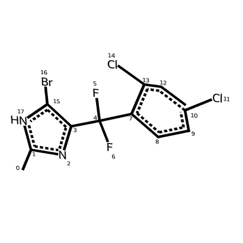 Cc1nc(C(F)(F)c2ccc(Cl)cc2Cl)c(Br)[nH]1